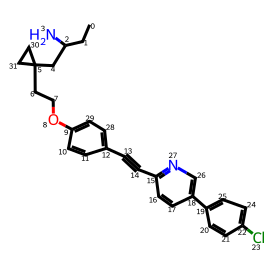 CCC(N)CC1(CCOc2ccc(C#Cc3ccc(-c4ccc(Cl)cc4)cn3)cc2)CC1